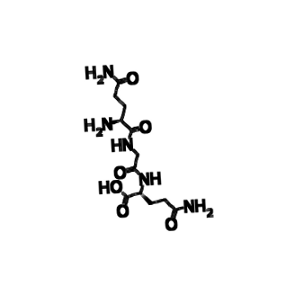 NC(=O)CC[C@H](NC(=O)CNC(=O)[C@@H](N)CCC(N)=O)C(=O)O